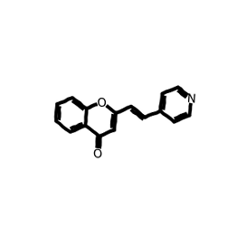 O=c1cc(C=Cc2ccncc2)oc2ccccc12